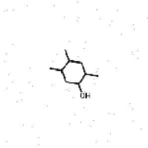 CC1CC(C)C(O)CC1C